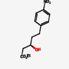 CCOC(=O)C[C@H](O)CCc1ccc([N+](=O)[O-])cc1